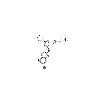 C[Si](C)(C)CCOCn1nc(C2CCCC2)s/c1=N\c1ccc2ncc(Br)cc2n1